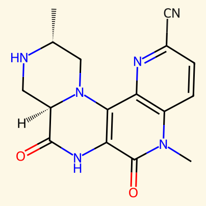 C[C@@H]1CN2c3c(c(=O)n(C)c4ccc(C#N)nc34)NC(=O)[C@H]2CN1